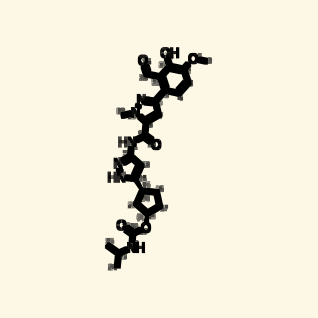 COc1ccc(-c2cc(C(=O)Nc3cc([C@H]4CC[C@@H](OC(=O)NC(C)C)C4)[nH]n3)n(C)n2)c(C=O)c1O